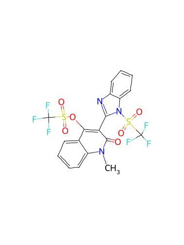 Cn1c(=O)c(-c2nc3ccccc3n2S(=O)(=O)C(F)(F)F)c(OS(=O)(=O)C(F)(F)F)c2ccccc21